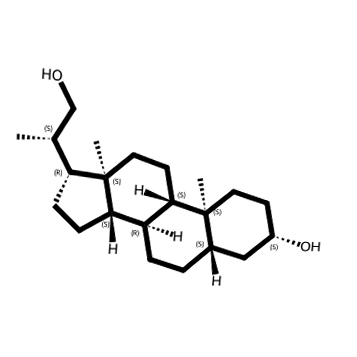 C[C@H](CO)[C@H]1CC[C@H]2[C@@H]3CC[C@H]4C[C@@H](O)CC[C@]4(C)[C@H]3CC[C@]12C